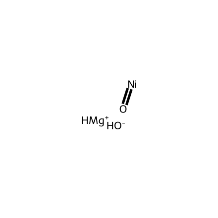 [MgH+].[OH-].[O]=[Ni]